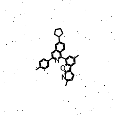 Cc1ccc(-c2cc3cc(C4CCCC4)ccc3c(-c3cc(C)cc4c3oc3nc(C)ccc34)n2)cc1